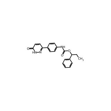 CCC(OC(=O)Nc1ccc(-c2ccc(=O)[nH]n2)cc1)c1ccccc1